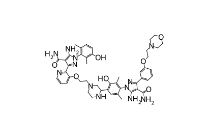 Cc1ccc(O)c(C)c1-n1nc(-c2ncccc2OCCN2CCNC(c3cc(C)c(-n4nc(-c5cccc(OCCN6CCOCC6)c5)c(C(N)=O)c4N)c(C)c3O)C2)c(C(N)=O)c1N